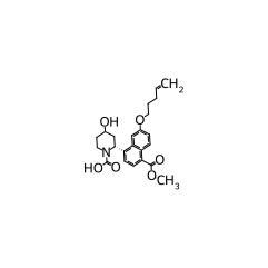 C=CCCCOc1ccc2c(C(=O)OC)ccc([C@H]3CC(O)CCN3C(=O)O)c2c1